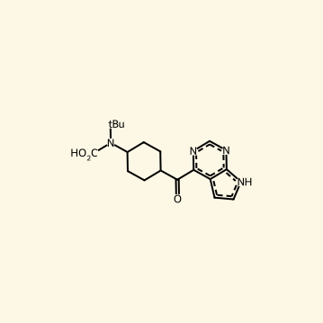 CC(C)(C)N(C(=O)O)C1CCC(C(=O)c2ncnc3[nH]ccc23)CC1